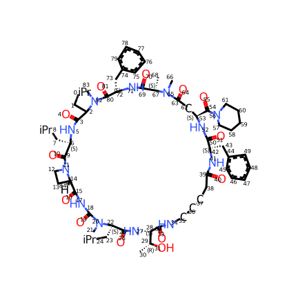 CC(C)CC1C(=O)N[C@@H](CC(C)C)C(=O)N2CC[C@H]2C(=O)NC(=O)N(C)[C@@H](CC(C)C)C(=O)N[C@@H]([C@@H](C)O)C(=O)NCCCCC(=O)N[C@@H](Cc2ccccc2)C(=O)N[C@H](C(=O)N2CCCCC2)CC(=O)N(C)[C@@H](C)C(=O)N[C@@H](Cc2ccccc2)C(=O)N1C